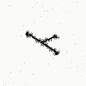 COP(=O)(O)OCCCCCCNC(=O)COCC(=O)N(CCNC(=O)CCOCCOCCNC(=O)CCN1C(=O)C=CC1=O)CCNC(=O)CCOCCOCCNC(=O)CCN1C(=O)C=CC1=O